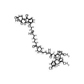 Cc1sc2c(c1C)C(c1ccc(Cl)cc1)N[C@H](CC(=O)NCCCN1CCN(C(=O)CCCCCNOCCOc3cccc4c3C(=O)N(C3CCC(=O)NC3=O)C4=O)CC1)c1nnc(C)n1-2